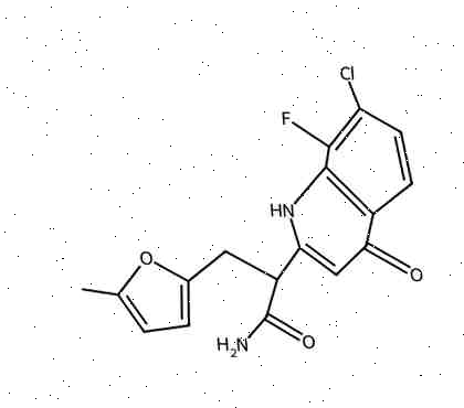 Cc1ccc(CC(C(N)=O)c2cc(=O)c3ccc(Cl)c(F)c3[nH]2)o1